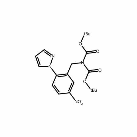 CC(C)(C)OC(=O)N(Cc1cc([N+](=O)[O-])ccc1-n1cccn1)C(=O)OC(C)(C)C